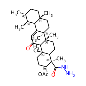 CC(=O)O[C@@H]1CC[C@@]2(C)C(CC[C@]3(C)C2C(=O)C=C2C4[C@@H](C)[C@H](C)CC[C@]4(C)CC[C@]23C)[C@@]1(C)C(=O)NN